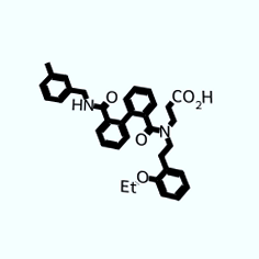 CCOc1ccccc1CCN(CCC(=O)O)C(=O)c1ccccc1-c1ccccc1C(=O)NCc1cccc(C)c1